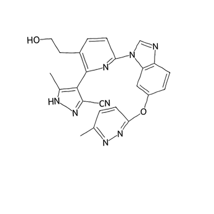 Cc1ccc(Oc2ccc3ncn(-c4ccc(CCO)c(-c5c(C#N)n[nH]c5C)n4)c3c2)nn1